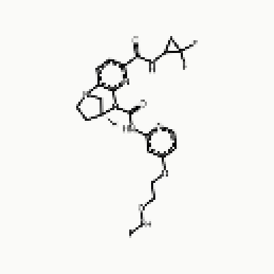 O=C(NC1CC1(F)F)c1ccc2c(n1)N(C(=O)Nc1cc(OCCOPI)ccn1)[C@H]1CCN2C1